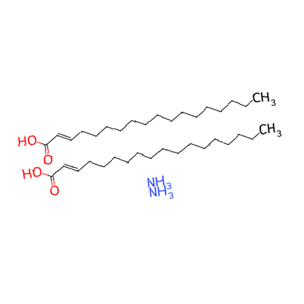 CCCCCCCCCCCCCCCC=CC(=O)O.CCCCCCCCCCCCCCCC=CC(=O)O.N.N